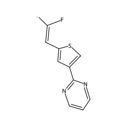 [CH2]/C(F)=C/c1cc(-c2ncccn2)cs1